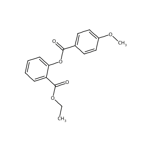 CCOC(=O)c1ccccc1OC(=O)c1ccc(OC)cc1